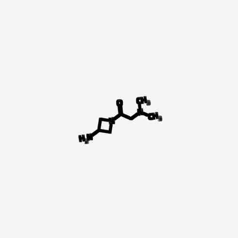 CN(C)CC(=O)N1CC(N)C1